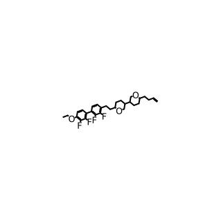 C=CCCC1CCC(C2CCC(CCc3ccc(-c4ccc(OCC)c(F)c4F)c(F)c3F)OC2)CO1